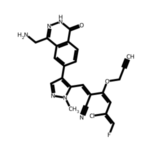 C#CCOC(=C/C(Cl)=C/F)/C(C#N)=C/c1c(-c2ccc3c(=O)[nH]nc(CN)c3c2)cnn1C